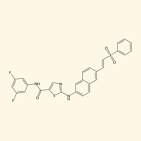 O=C(Nc1cc(F)cc(F)c1)c1cnc(Nc2ccc3cc(/C=C/S(=O)(=O)c4ccccc4)ccc3c2)s1